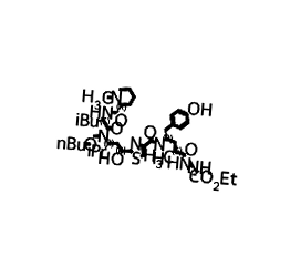 CCCCOCN(C(=O)[C@@H](NC(=O)[C@H]1CCCCN1C)C(C)CC)[C@H](C[C@@H](O)c1nc(C(=O)N[C@@H](Cc2ccc(O)cc2)C[C@H](C)C(=O)NNC(=O)OCC)cs1)C(C)C